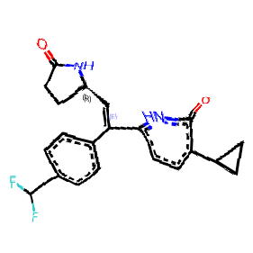 O=C1CC[C@H](/C=C(\c2ccc(C(F)F)cc2)c2ccc(C3CC3)c(=O)[nH]2)N1